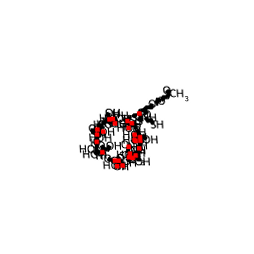 CN[C@H](CSCC1OC2O[C@@H]3C(CO)O[C@H](O[C@@H]4C(CO)O[C@H](O[C@@H]5C(CO)O[C@@H](O[C@@H]6C(CSC[C@@H](CC(=O)CCOCCOCCC(C)=O)C(=O)NCCS)O[C@H](O[C@@H]7C(CO)O[C@@H](O[C@@H]8C(CO)O[C@@H](O[C@H]1[C@H](O)C2O)C(O)[C@H]8O)C(O)[C@H]7O)C(O)[C@H]6O)C(O)[C@H]5O)C(O)[C@H]4O)C(O)[C@H]3O)C(=O)NCCS